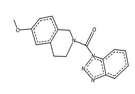 COc1ccc2c(c1)CCN(C(=O)n1nnc3ccccc31)C2